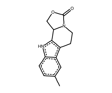 Cc1ccc2[nH]c3c(c2c1)CCN1C(=O)OCC31